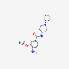 COc1cc(C(=O)NC2CCN(C3CCCC3)CC2)ccc1N